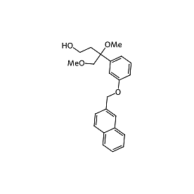 COCC(CCO)(OC)c1cccc(OCc2ccc3ccccc3c2)c1